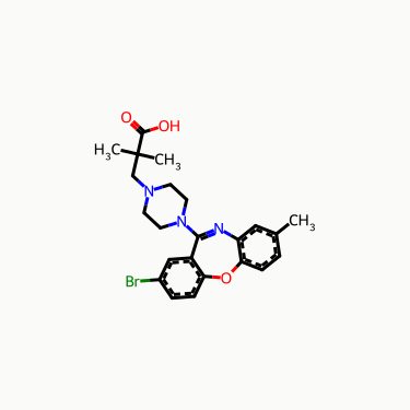 Cc1ccc2c(c1)N=C(N1CCN(CC(C)(C)C(=O)O)CC1)c1cc(Br)ccc1O2